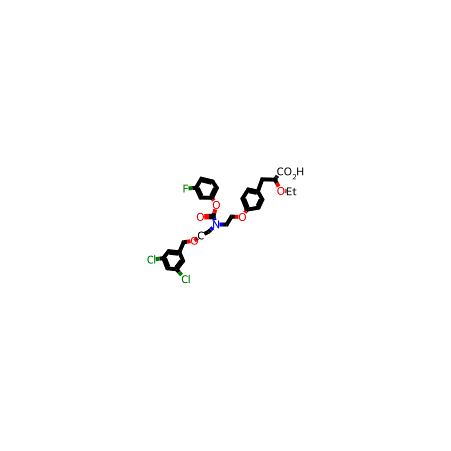 CCOC(Cc1ccc(OCCN(CCOCc2cc(Cl)cc(Cl)c2)C(=O)Oc2cccc(F)c2)cc1)C(=O)O